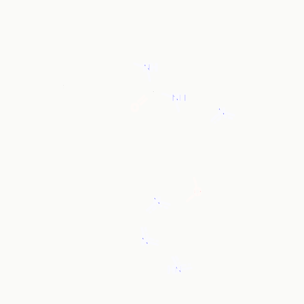 O=C(Nc1cccc(C(F)(F)F)c1)Nc1ccc(Oc2ncnc3[nH]ccc23)c2cccnc12